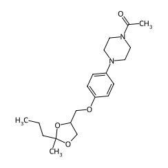 CCCC1(C)OCC(COc2ccc(N3CCN(C(C)=O)CC3)cc2)O1